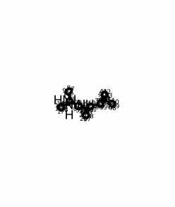 C1=C(C2N=C(c3ccccc3)NC(c3ccccc3)N2)CNC(n2c3ccccc3c3cc(-c4ccc5c(c4)c4ccccc4n5-c4ccccc4)ccc32)=C1